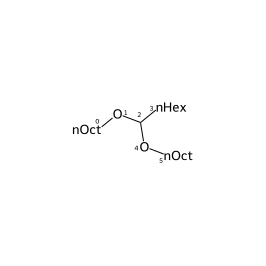 CCCCCCCCOC(CCCCCC)OCCCCCCCC